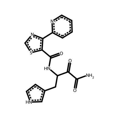 NC(=O)C(=O)C(Cc1cc[nH]c1)NC(=O)c1scnc1-c1ccccn1